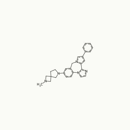 CN1CC2(CCN(c3ccc4c(c3)Cn3cc(-c5ccccc5)cc3-c3nccn3-4)C2)C1